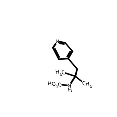 CC(C)(Cc1ccncc1)NC(=O)O